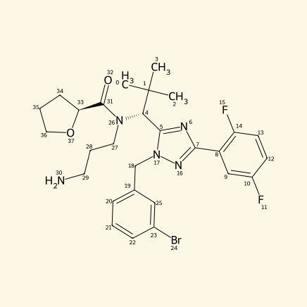 CC(C)(C)[C@H](c1nc(-c2cc(F)ccc2F)nn1Cc1cccc(Br)c1)N(CCCN)C(=O)[C@@H]1CCCO1